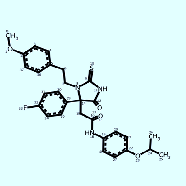 COc1ccc(CCN2C(=S)NC(=O)C2(CC(=O)Nc2ccc(OC(C)C)cc2)c2ccc(F)cc2)cc1